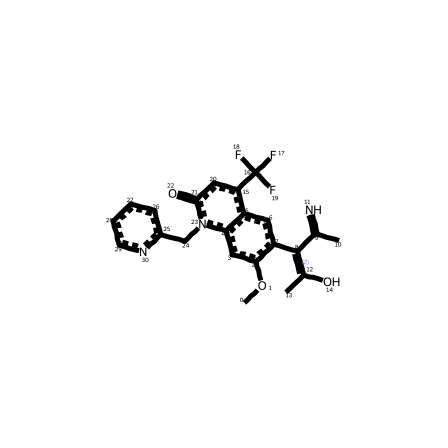 COc1cc2c(cc1/C(C(C)=N)=C(\C)O)c(C(F)(F)F)cc(=O)n2Cc1ccccn1